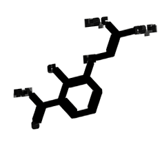 CCOC(=O)C(=CNc1cccc(C(=O)NC)c1Cl)C(=O)OCC